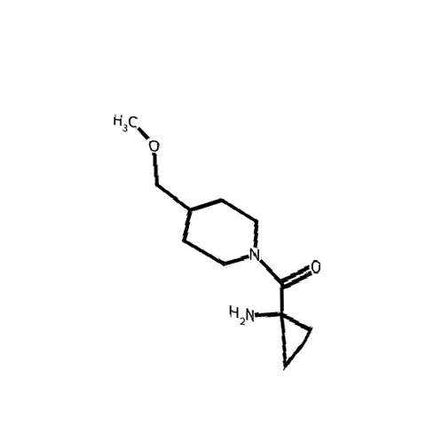 COCC1CCN(C(=O)C2(N)CC2)CC1